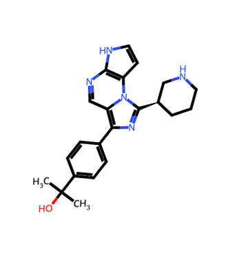 CC(C)(O)c1ccc(-c2nc([C@@H]3CCCNC3)n3c2cnc2[nH]ccc23)cc1